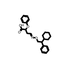 O=C(O)C(CC=NOCC(c1ccccc1)C1CCCCC1)Oc1ccccc1